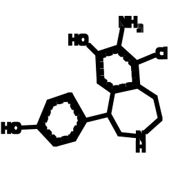 Nc1c(O)cc2c(c1Cl)CCNCC2c1ccc(O)cc1